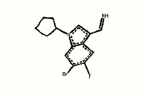 N=Cc1cn(C2CCCC2)c2cc(Br)c(F)cc12